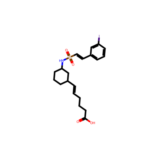 O=C(O)CCCC=CC1CCCC(NS(=O)(=O)C=Cc2cccc(I)c2)C1